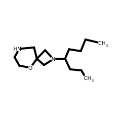 CCCCC(CCC)N1CC2(CNCCO2)C1